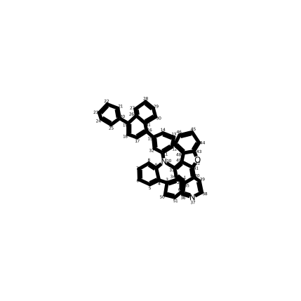 c1ccc(-c2ccccc2N(c2cccc(-c3ccc(-c4ccccc4)c4ccccc34)c2)c2cc3cnccc3c3oc4ccccc4c23)cc1